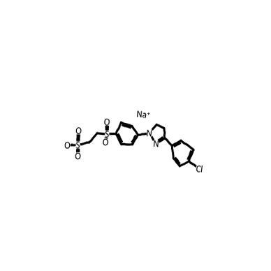 O=S(=O)([O-])CCS(=O)(=O)c1ccc(N2CCC(c3ccc(Cl)cc3)=N2)cc1.[Na+]